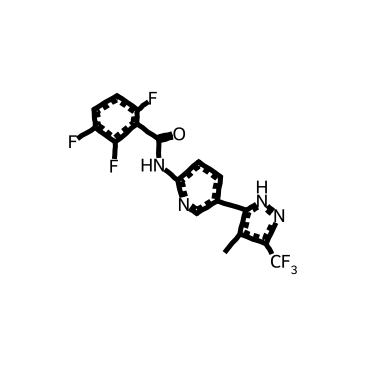 Cc1c(C(F)(F)F)n[nH]c1-c1ccc(NC(=O)c2c(F)ccc(F)c2F)nc1